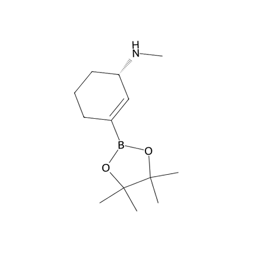 CN[C@@H]1C=C(B2OC(C)(C)C(C)(C)O2)CCC1